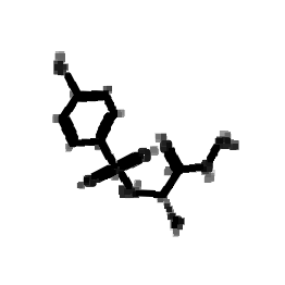 CC(C)[C@H](NS(=O)(=O)c1ccc(Br)cc1)C(=O)OC(C)(C)C